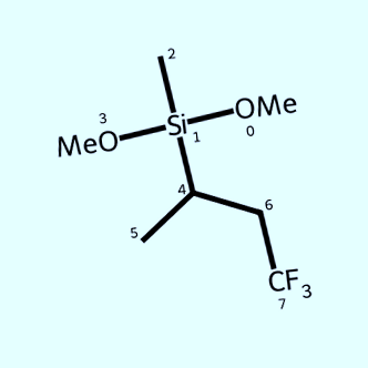 CO[Si](C)(OC)C(C)CC(F)(F)F